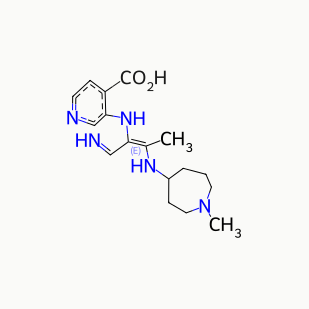 C/C(NC1CCCN(C)CC1)=C(/C=N)Nc1cnccc1C(=O)O